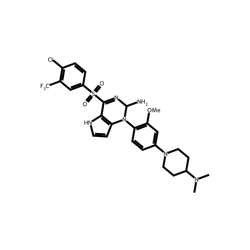 COc1cc(N2CCC(N(C)C)CC2)ccc1N1c2cc[nH]c2C(S(=O)(=O)c2ccc(Cl)c(C(F)(F)F)c2)=NC1N